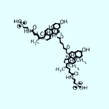 C[C@@H](CCC(=O)NCCS(=O)(=O)O)[C@H]1CC[C@H]2[C@@H]3[C@@H](CC(=O)CCCC(=O)C[C@H]4CC5C[C@H](O)CC[C@]5(C)[C@H]5CC[C@]6(C)[C@@H]([C@@H](C)CCC(=O)NCCS(=O)(=O)O)CC[C@H]6[C@H]45)CC4C[C@H](O)CC[C@]4(C)[C@H]3CC[C@@]12C